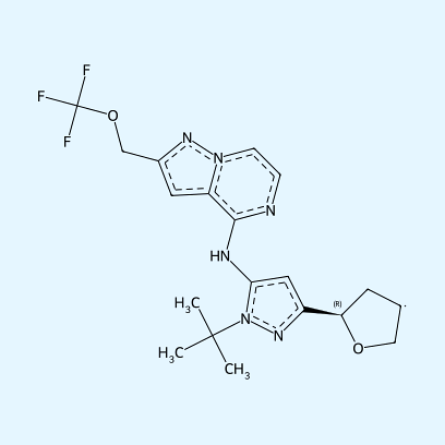 CC(C)(C)n1nc([C@H]2C[CH]CO2)cc1Nc1nccn2nc(COC(F)(F)F)cc12